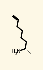 C=CCCCC[C@H](C)N